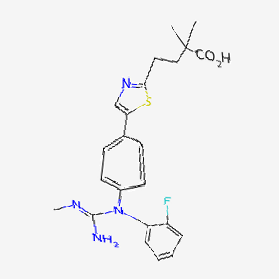 CN=C(N)N(c1ccc(-c2cnc(CCC(C)(C)C(=O)O)s2)cc1)c1ccccc1F